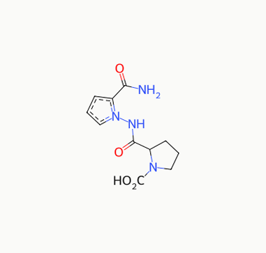 NC(=O)c1cccn1NC(=O)C1CCCN1C(=O)O